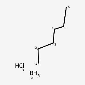 B.CCCCCC.Cl